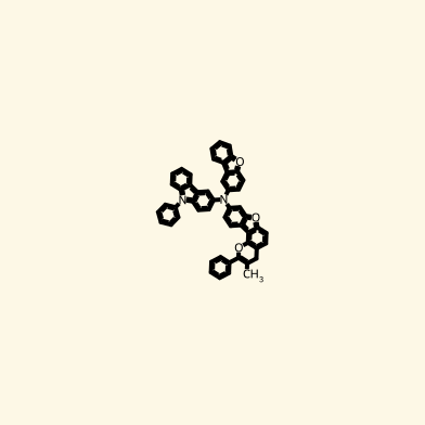 CC1=C(c2ccccc2)Oc2c(ccc3oc4cc(N(c5ccc6oc7ccccc7c6c5)c5ccc6c(c5)c5ccccc5n6-c5ccccc5)ccc4c23)C1